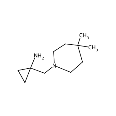 CC1(C)CCN(CC2(N)CC2)CC1